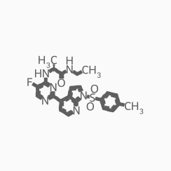 CCNC(=O)[C@H](C)Nc1nc(-c2ccnc3c2ccn3S(=O)(=O)c2ccc(C)cc2)ncc1F